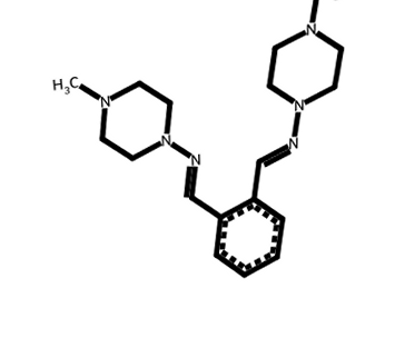 CN1CCN(N=Cc2ccccc2C=NN2CCN(C)CC2)CC1